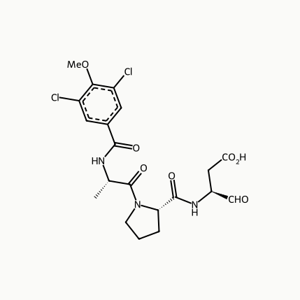 COc1c(Cl)cc(C(=O)N[C@@H](C)C(=O)N2CCC[C@H]2C(=O)N[C@H](C=O)CC(=O)O)cc1Cl